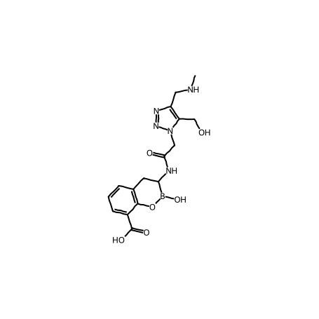 CNCc1nnn(CC(=O)NC2Cc3cccc(C(=O)O)c3OB2O)c1CO